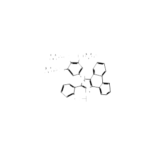 COc1cc(-n2c(-c3ccccc3O)nc3c4ccccc4c4ccccc4c32)cc(OC)c1OC